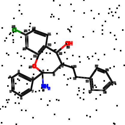 NC1(c2ccccc2)CC(CCc2ccccc2)C(O)c2ccc(Cl)cc2O1